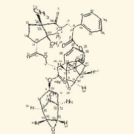 CN1[C@@H]2C[C@@H](OC(=O)[C@H](COC(=O)[C@@H]3CC[C@](C)(C(=O)OC[C@@H](C(=O)O[C@@H]4C[C@@H]5[C@H]6O[C@H]6[C@H](C4)N5C)c4ccccc4)C3(C)C)c3ccccc3)C[C@H]1[C@@H]1O[C@@H]12